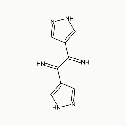 N=C(C(=N)c1cn[nH]c1)c1cn[nH]c1